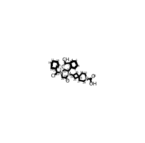 CC(C)c1ccccc1C1CN(C(Cl)c2ccccc2)CC(=O)N1C1CC2(CCN(C(=O)O)CC2)C1